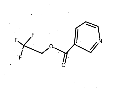 O=C(OCC(F)(F)F)c1cccnc1